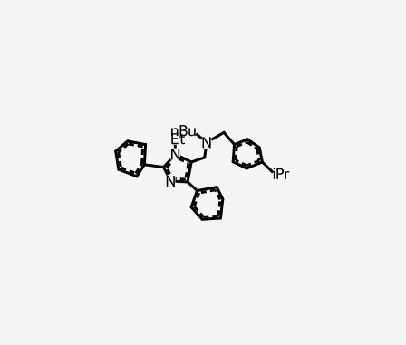 CCCCN(Cc1ccc(C(C)C)cc1)Cc1c(-c2ccccc2)nc(-c2ccccc2)n1CC